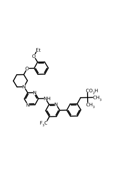 CCOc1ccccc1OC1CCCN(c2cncc(Nc3cc(C(F)(F)F)cc(-c4cccc(CC(C)(C)C(=O)O)c4)n3)n2)C1